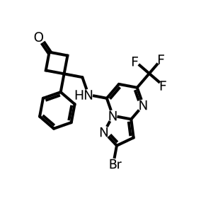 O=C1CC(CNc2cc(C(F)(F)F)nc3cc(Br)nn23)(c2ccccc2)C1